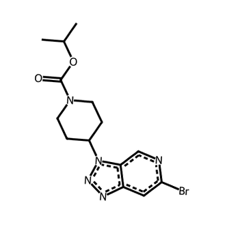 CC(C)OC(=O)N1CCC(n2nnc3cc(Br)ncc32)CC1